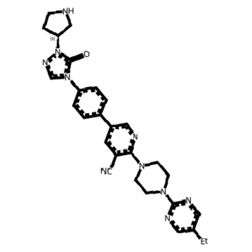 CCc1cnc(N2CCN(c3ncc(-c4ccc(-n5cnn([C@H]6CCNC6)c5=O)cc4)cc3C#N)CC2)nc1